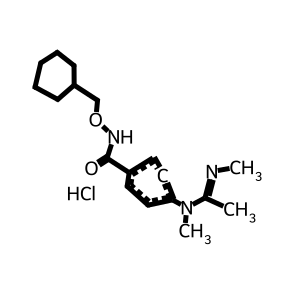 CN=C(C)N(C)c1ccc(C(=O)NOCC2CCCCC2)cc1.Cl